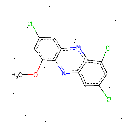 COc1cc(Cl)cc2nc3c(Cl)cc(Cl)cc3nc12